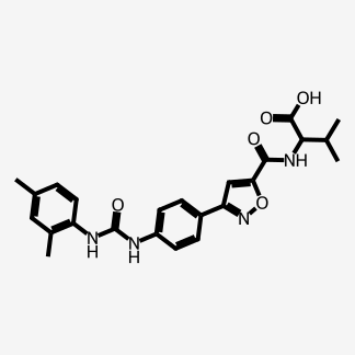 Cc1ccc(NC(=O)Nc2ccc(-c3cc(C(=O)NC(C(=O)O)C(C)C)on3)cc2)c(C)c1